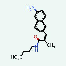 CC(=Cc1ccc2cc(N)ccc2c1)C(=O)NCCCC(=O)O